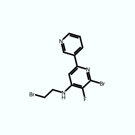 Fc1c(NCCBr)cc(-c2cccnc2)nc1Br